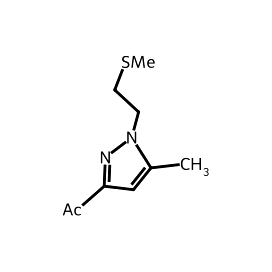 CSCCn1nc(C(C)=O)cc1C